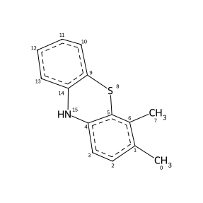 Cc1ccc2c(c1C)Sc1ccccc1N2